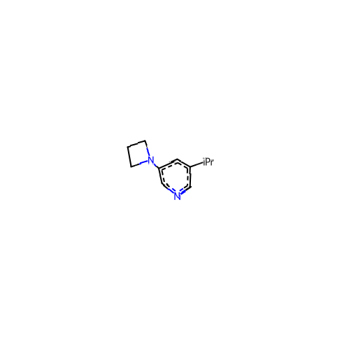 CC(C)c1cncc(N2CCC2)c1